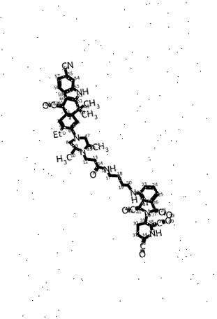 CCc1cc2c(cc1N1CC(C)N(CCC(=O)NCCCCNc3cccc4c(=C=O)n(C5CCC(=C=O)NC5=C=O)c(=C=O)c34)C(C)C1)C(C)(C)c1[nH]c3cc(C#N)ccc3c1C2=C=O